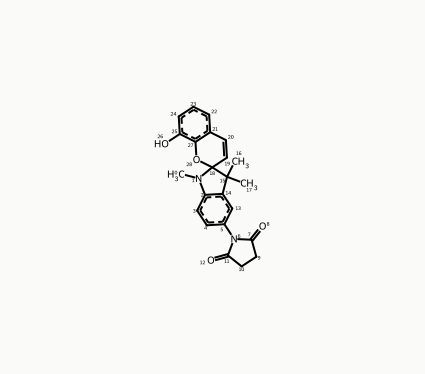 CN1c2ccc(N3C(=O)CCC3=O)cc2C(C)(C)C12C=Cc1cccc(O)c1O2